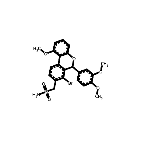 COc1ccc(C2Oc3cccc(OC)c3-c3ccc(CS(N)(=O)=O)c(Br)c32)cc1OC